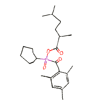 Cc1cc(C)c(C(=O)P(=O)(OC(=O)C(C)CCC(C)C)C2CCCC2)c(C)c1